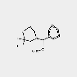 O=COC(c1ccccc1)N1CCOC(F)(C=O)C1